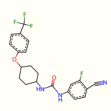 N#Cc1ccc(NC(=O)NC2CCC(Oc3ccc(C(F)(F)F)cc3)CC2)cc1F